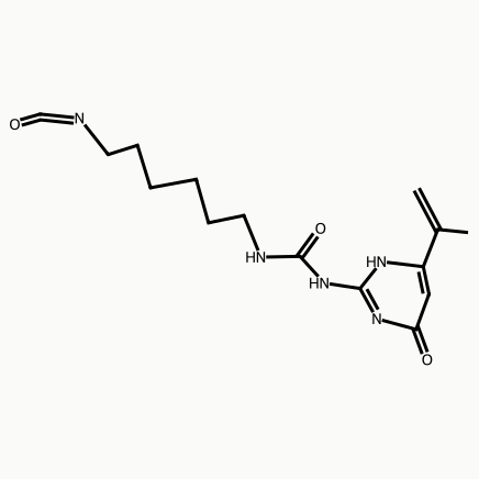 C=C(C)c1cc(=O)nc(NC(=O)NCCCCCCN=C=O)[nH]1